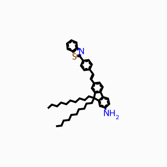 CCCCCCCCCCC1(CCCCCCCCCC)c2cc(N)ccc2-c2ccc(C=Cc3ccc(-c4nc5ccccc5s4)cc3)cc21